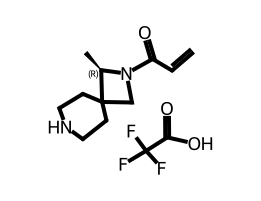 C=CC(=O)N1CC2(CCNCC2)[C@H]1C.O=C(O)C(F)(F)F